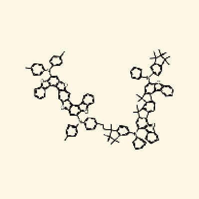 Cc1ccc(N(c2ccc(C)cc2)c2cc3oc4cc5c(cc4c3c3c2oc2ccccc23)oc2cc(N(c3ccc(C)cc3)c3ccc(CCC4(C)c6ccc(N(c7ccccc7)c7cc8c(c9oc%10ccccc%10c79)-c7ccc9c(c7C8(C)C)C(C)(C)c7cc(N(c8ccccc8)c8ccc%10c(c8)C(C)(C)C(C)(C)C%10(C)C)c8oc%10ccccc%10c8c7-9)cc6C(C)(C)C4(C)C)cc3)c3oc4ccccc4c3c25)cc1